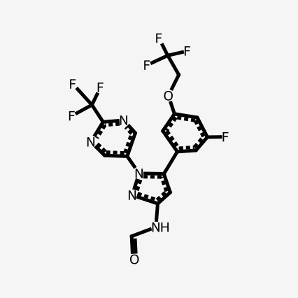 O=CNc1cc(-c2cc(F)cc(OCC(F)(F)F)c2)n(-c2cnc(C(F)(F)F)nc2)n1